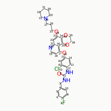 O=C(NCc1ccc(F)cc1)Nc1ccc(Oc2ccnc3cc(OCCCN4CCCCC4)c4c(c23)OCCO4)cc1Cl